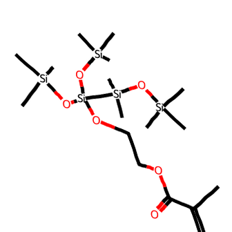 C=C(C)C(=O)OCCO[Si](O[Si](C)(C)C)(O[Si](C)(C)C)[Si](C)(C)O[Si](C)(C)C